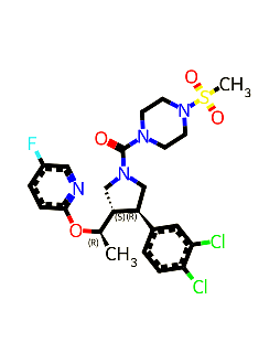 C[C@@H](Oc1ccc(F)cn1)[C@@H]1CN(C(=O)N2CCN(S(C)(=O)=O)CC2)C[C@H]1c1ccc(Cl)c(Cl)c1